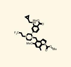 COC(=O)c1ccc([C@H]2CN(CCC(F)(F)F)CCN2Cc2c(OC)cc(C)c3c2ccn3C(=O)OC(C)(C)C)cc1NCC1CC1